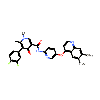 COc1cc2nccc(Oc3ccc(NC(=O)c4cn(C(C)C)c(C)c(-c5ccc(F)c(F)c5)c4=O)nc3)c2cc1OC